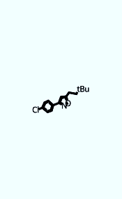 CC(C)(C)CCc1cc(-c2ccc(Cl)cc2)no1